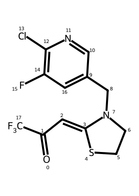 O=C(C=C1SCCN1Cc1cnc(Cl)c(F)c1)C(F)(F)F